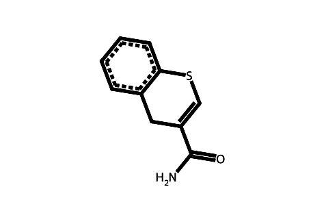 NC(=O)C1=CSc2ccccc2C1